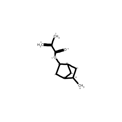 C=C(C)C(=O)OC1CC2CC1CC2C